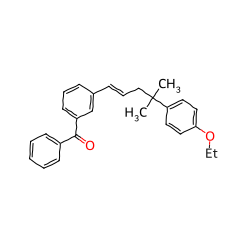 CCOc1ccc(C(C)(C)CC=Cc2cccc(C(=O)c3ccccc3)c2)cc1